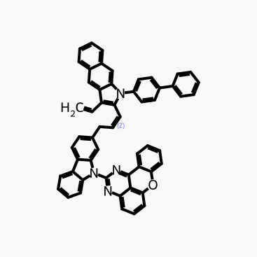 C=Cc1c(/C=C\Cc2ccc3c4ccccc4n(-c4nc5c6c(cccc6n4)Oc4ccccc4-5)c3c2)n(-c2ccc(-c3ccccc3)cc2)c2cc3ccccc3cc12